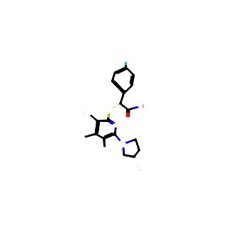 CCc1c(C#N)c(S[C@H](C(N)=O)c2ccc(F)cc2)nc(N2CC[C@H](O)C2)c1C#N